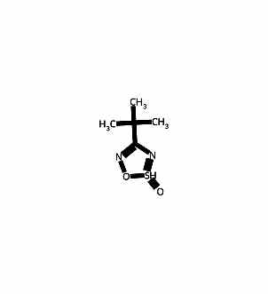 CC(C)(C)C1=NO[SH](=O)=N1